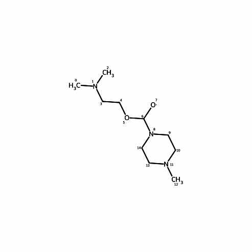 CN(C)CCOC([O])N1CCN(C)CC1